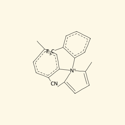 CC1=CC=C(C)[N+]1(c1cc(C)ccc1C#N)c1ccccc1C(F)(F)F